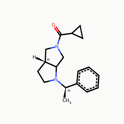 C[C@H](c1ccccc1)N1CC[C@@H]2CN(C(=O)C3CC3)CC21